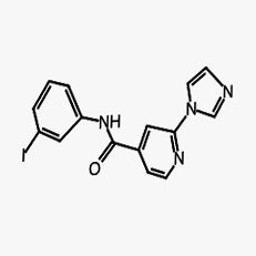 O=C(Nc1cccc(I)c1)c1ccnc(-n2ccnc2)c1